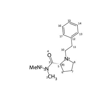 CNN(C)C(=O)[C@H]1CCCN1CCc1ccccc1